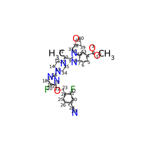 COC(=O)c1ccc2nc([C@H](C)N3CCN(c4ncc(F)c(OCc5ccc(C#N)cc5F)n4)CC3)n(CC3CCO3)c2c1